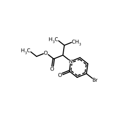 CCOC(=O)C(C(C)C)n1ccc(Br)cc1=O